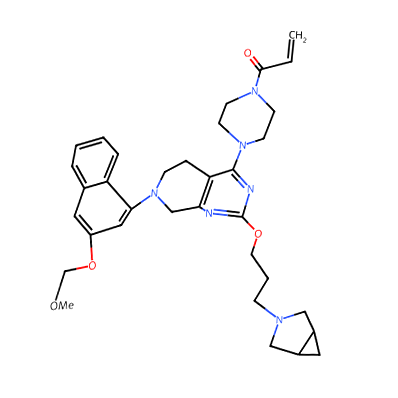 C=CC(=O)N1CCN(c2nc(OCCCN3CC4CC4C3)nc3c2CCN(c2cc(OCOC)cc4ccccc24)C3)CC1